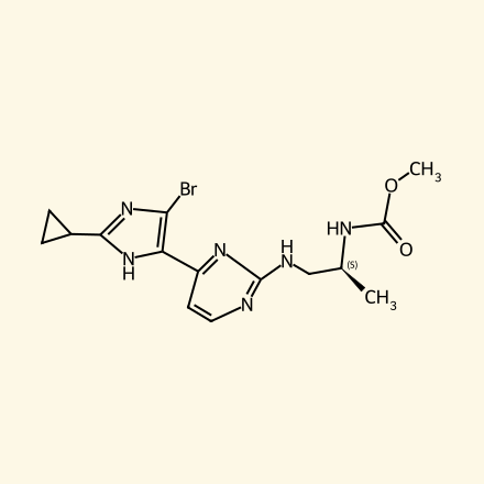 COC(=O)N[C@@H](C)CNc1nccc(-c2[nH]c(C3CC3)nc2Br)n1